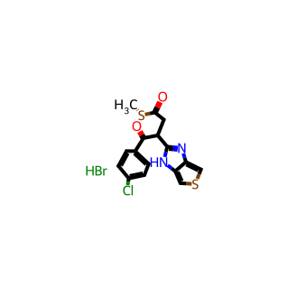 Br.CSC(=O)CC(C(=O)c1ccc(Cl)cc1)c1nc2cscc2[nH]1